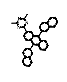 Cc1nc(C)nc(-c2ccc3c(-c4ccc5ccccc5c4)c4ccccc4c(-c4ccc5ccccc5c4)c3c2)n1